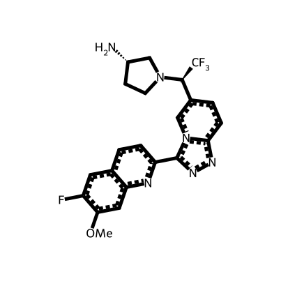 COc1cc2nc(-c3nnc4ccc([C@@H](N5CC[C@H](N)C5)C(F)(F)F)cn34)ccc2cc1F